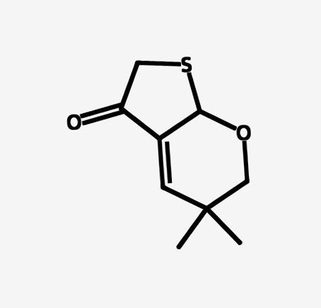 CC1(C)C=C2C(=O)CSC2OC1